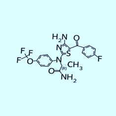 C[C@H](C(N)=O)N(c1ccc(OC(F)(F)F)cc1)c1nc(N)c(C(=O)c2ccc(F)cc2)s1